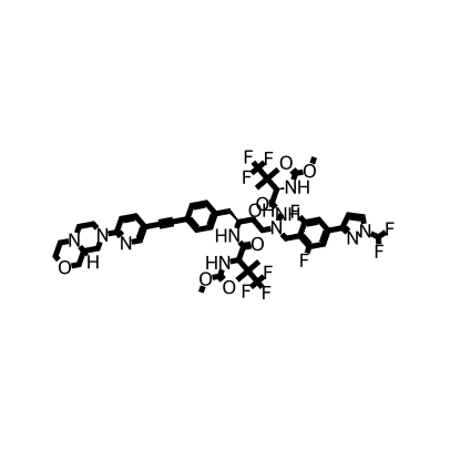 COC(=O)NC(C(=O)N[C@@H](Cc1ccc(C#Cc2ccc(N3CCN4CCOC[C@H]4C3)nc2)cc1)[C@@H](O)CN(Cc1c(F)cc(-c2ccn(C(F)F)n2)cc1F)NC(=O)[C@@H](NC(=O)OC)C(C)(C)C(F)(F)F)C(C)(C)C(F)(F)F